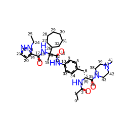 CCC(=O)N[C@H](Cc1ccc(NC(=O)[C@](C)(NC(=O)c2ccnn2CC)C2CCCCCC2)cc1)C(=O)N1CCN(C)CC1